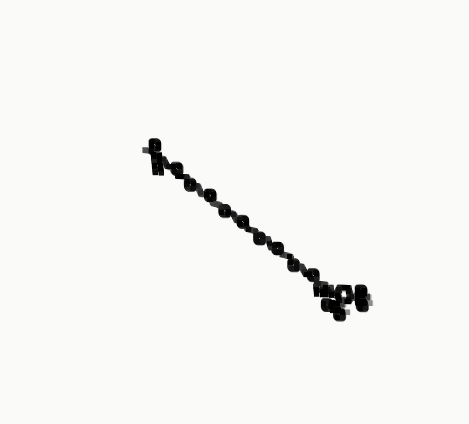 CC(=O)NCCOCCOCCOCCOCCOCCOCCOCCOCCOCCNc1ccc([N+](=O)[O-])cc1[N+](=O)[O-]